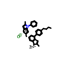 CC1=C2c3c(cc(C)n3-c3ccccc3)C1[Si]2(C)C.CCCCc1ccc(-c2cccc3c2C=C(C)[CH]3[Zr+2])cc1.[Cl-].[Cl-]